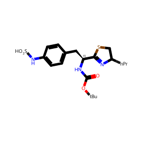 CCCC1CSC([C@H](Cc2ccc(NS(=O)(=O)O)cc2)NC(=O)OC(C)(C)C)=N1